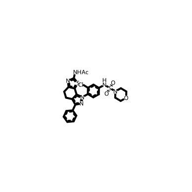 CC(=O)Nc1nc2c(s1)-c1c(c(-c3ccccc3)nn1-c1ccc(NS(=O)(=O)N3CCOCC3)cc1Cl)CC2